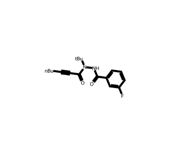 CCCCC#CC(=O)N(NC(=O)c1cccc(F)c1)C(C)(C)C